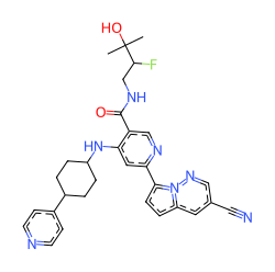 CC(C)(O)C(F)CNC(=O)c1cnc(-c2ccc3cc(C#N)cnn23)cc1NC1CCC(c2ccncc2)CC1